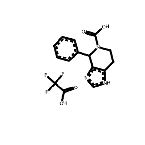 O=C(O)C(F)(F)F.O=C(O)N1CCc2[nH]cnc2C1c1ccccc1